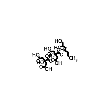 CCCCCC(O)CO.O=C(O)CC(O)(CC(=O)O)C(=O)O.O=C(O)CC(O)(CC(=O)O)C(=O)O